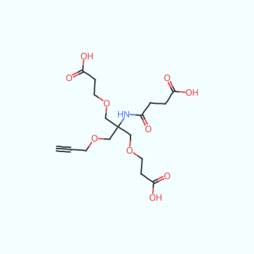 C#CCOCC(COCCC(=O)O)(COCCC(=O)O)NC(=O)CCC(=O)O